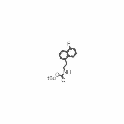 CC(C)(C)OC(=O)NCCc1cccc2c(F)cccc12